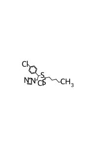 CCCCCC(=S)SC(c1ccc(Cl)cc1)C(Cl)n1ccnc1